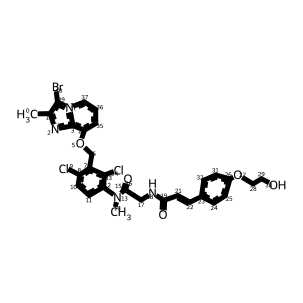 Cc1nc2c(OCc3c(Cl)ccc(N(C)C(=O)CNC(=O)/C=C/c4ccc(OCCO)cc4)c3Cl)cccn2c1Br